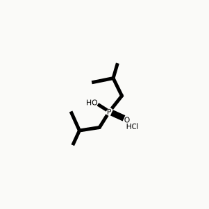 CC(C)CP(=O)(O)CC(C)C.Cl